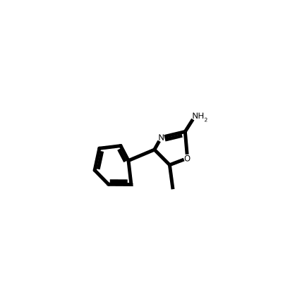 CC1OC(N)=NC1c1ccccc1